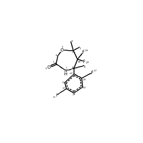 CC1(C)OCC(=O)NC(C)(c2cc(I)ccc2F)C1(F)F